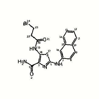 NC(=O)c1nc(Nc2ccc3ccccc3c2)sc1NC(=O)CCBr